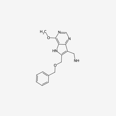 COc1ncnc2c(C[NH])c(COCc3ccccc3)[nH]c12